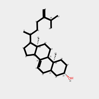 C=C(CCC(C)C1CCC2C3=CCC4C[C@@H](O)CC[C@]4(C)C3CC[C@@]21C)C(C)C